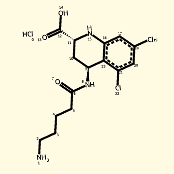 Cl.NCCCCC(=O)N[C@H]1C[C@H](C(=O)O)Nc2cc(Cl)cc(Cl)c21